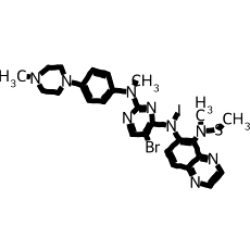 CSN(C)c1c(N(I)c2nc(N(C)c3ccc(N4CCN(C)CC4)cc3)ncc2Br)ccc2nccnc12